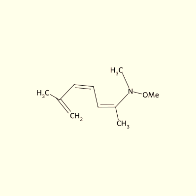 C=C(C)/C=C\C=C(\C)N(C)OC